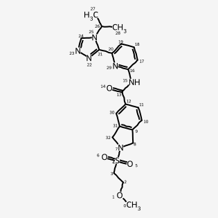 COCCS(=O)(=O)N1Cc2ccc(C(=O)Nc3cccc(-c4nncn4C(C)C)n3)cc2C1